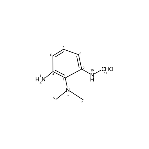 CN(C)c1c(N)cccc1NC=O